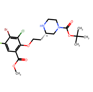 COC(=O)c1cc(F)c(Br)c(Cl)c1OCC[C@H]1CN(C(=O)OC(C)(C)C)CCN1